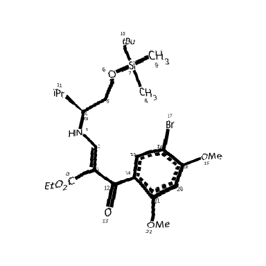 CCOC(=O)C(=CN[C@H](CO[Si](C)(C)C(C)(C)C)C(C)C)C(=O)c1cc(Br)c(OC)cc1OC